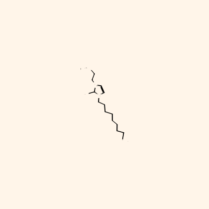 CCCCCCCCCCCCCCCCCCN1C=CN(CCCCCCCCCCCC)C1CCCCCCCCCC